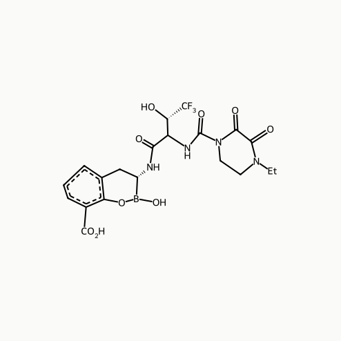 CCN1CCN(C(=O)NC(C(=O)N[C@H]2Cc3cccc(C(=O)O)c3OB2O)[C@H](O)C(F)(F)F)C(=O)C1=O